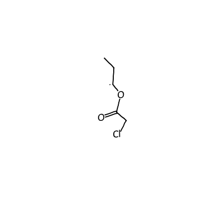 CC[CH]OC(=O)CCl